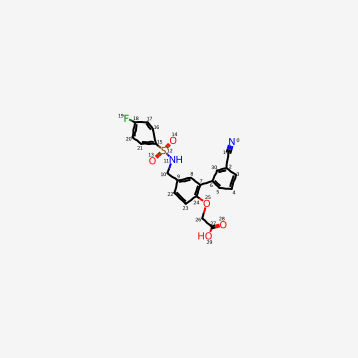 N#Cc1cccc(-c2cc(CNS(=O)(=O)c3ccc(F)cc3)ccc2OCC(=O)O)c1